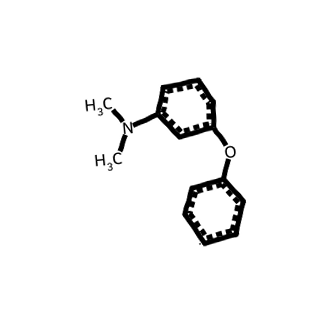 CN(C)c1cccc(Oc2cc[c]cc2)c1